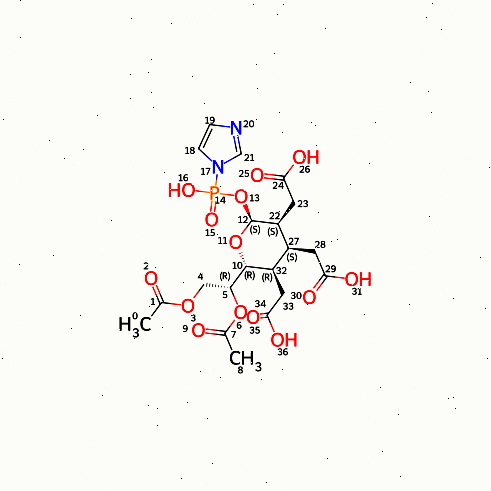 CC(=O)OC[C@@H](OC(C)=O)[C@@H]1O[C@@H](OP(=O)(O)n2ccnc2)[C@@H](CC(=O)O)[C@@H](CC(=O)O)[C@H]1CC(=O)O